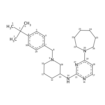 CC(C)(C)c1ccc(CN2CCCC(Nc3nccc(N4CCCCCC4)n3)C2)cc1